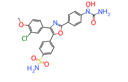 COc1ccc(-c2nc(-c3ccc(N(O)C(N)=O)cc3)oc2-c2ccc(S(N)(=O)=O)cc2)cc1Cl